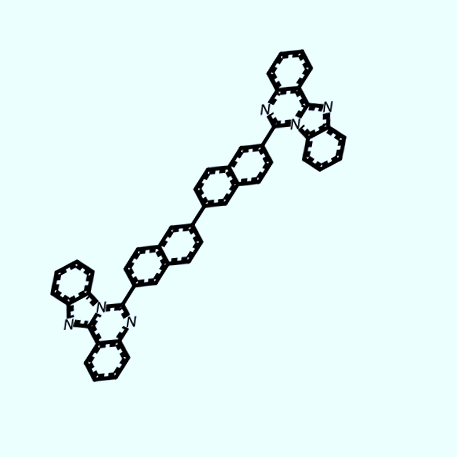 c1ccc2c(c1)nc(-c1ccc3cc(-c4ccc5cc(-c6nc7ccccc7c7nc8ccccc8n67)ccc5c4)ccc3c1)n1c3ccccc3nc21